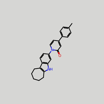 Cc1ccc(-c2ccn(-c3ccc4c5c([nH]c4c3)CCCCC5)c(=O)c2)cc1